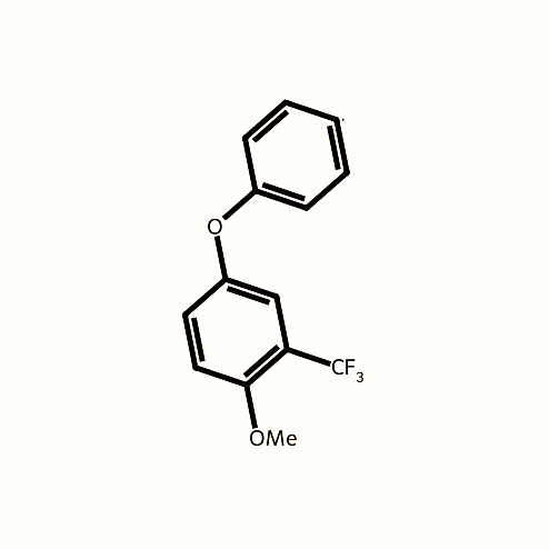 COc1ccc(Oc2cc[c]cc2)cc1C(F)(F)F